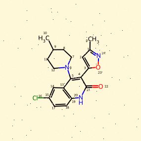 Cc1cc(-c2c(N3CCC(C)CC3)c3cc(Cl)ccc3[nH]c2=O)on1